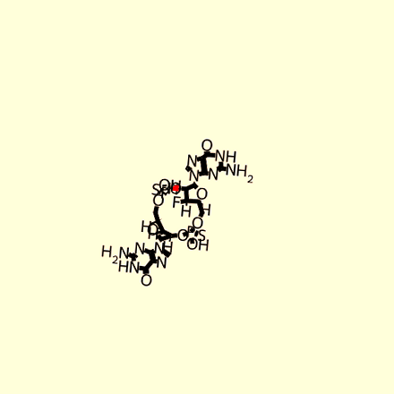 Nc1nc2c(ncn2[C@@H]2O[C@@H]3COP(O)(=S)O[C@@H]4[C@H](F)[C@@H](COP(O)(=S)O[C@@H]2[C@@H]3F)O[C@H]4n2cnc3c(=O)[nH]c(N)nc32)c(=O)[nH]1